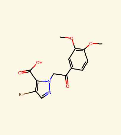 COc1ccc(C(=O)Cn2ncc(Br)c2C(=O)O)cc1OC